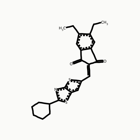 CCc1cc2c(cc1CC)C(=O)C(=Cc1cc3sc(C4CCCCC4)nc3s1)C2=O